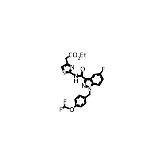 CCOC(=O)Cc1csc(NC(=O)c2nn(Cc3ccc(OC(F)F)cc3)c3ccc(F)cc23)n1